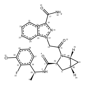 C[C@H](NC(=O)[C@@H]1C[C@H]2C[C@H]2N1C(=O)Cn1nc(C(N)=O)c2ccncc21)c1cccc(Cl)c1F